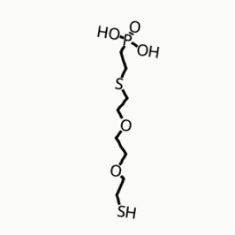 O=P(O)(O)CCSCCOCCOCCS